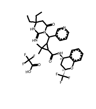 CCC1(CC)CC(=O)N(C(c2cccnc2)C2C(C(=O)N[C@@H]3C[C@@H](C(F)(F)F)Oc4ccccc43)C2(C)C)C(=N)N1.O=C(O)C(F)(F)F